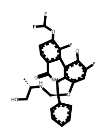 C[C@@H](CO)NC[C@@]1(c2ccccc2)Cc2c(cc(F)c(Cl)c2-c2c(C(N)=O)ccc(OC(F)F)c2F)O1